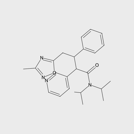 Cc1noc(CC(c2ccccc2)C(C(=O)N(C(C)C)C(C)C)c2cccnc2)n1